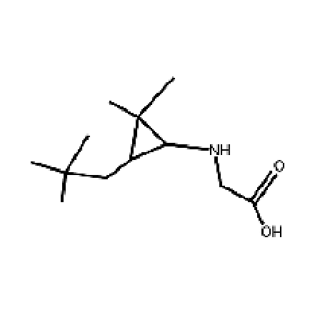 CC(C)(C)CC1C(NCC(=O)O)C1(C)C